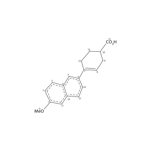 COc1ccc2cc(C3=CCC(C(=O)O)CC3)ccc2c1